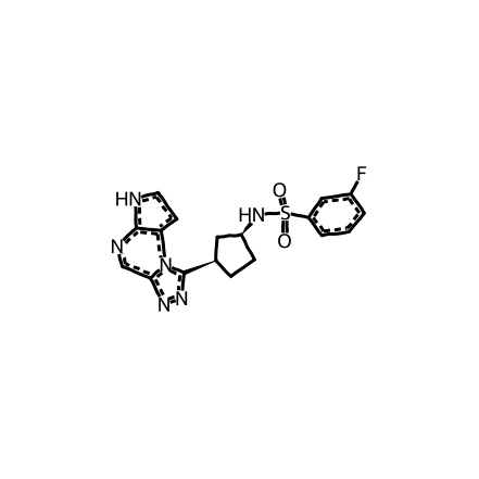 O=S(=O)(N[C@H]1CC[C@@H](c2nnc3cnc4[nH]ccc4n23)C1)c1cccc(F)c1